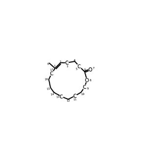 CC1=CCCCC(=O)OCCCCCCCCC1